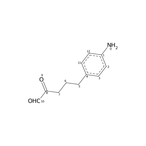 Nc1ccc(CCCC(=O)C=O)cc1